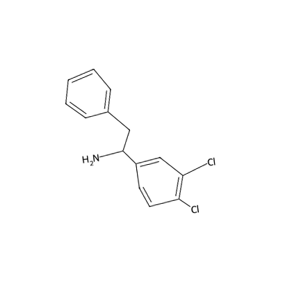 NC(Cc1ccccc1)c1ccc(Cl)c(Cl)c1